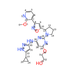 COc1ncccc1-c1cc(C2CCCN2c2nc(Nc3cc(C4CC4)[nH]n3)cc(OCCO)n2)on1